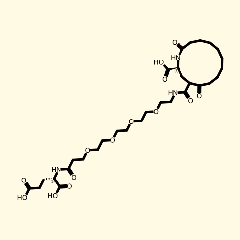 O=C(O)CC[C@H](NC(=O)CCOCCOCCOCCOCCNC(=O)C1C[C@@H](C(=O)O)NC(=O)CCCCCCCCC1=O)C(=O)O